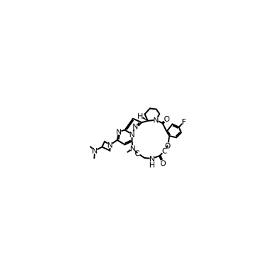 CN1CCNC(=O)COc2ccc(F)cc2C(=O)N2CCCC[C@H]2c2cc3nc(N4CC(N(C)C)C4)cc1n3n2